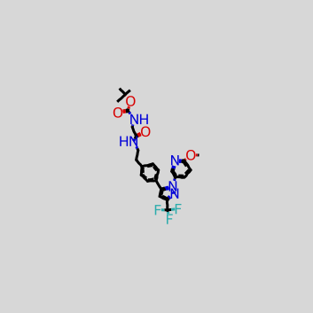 COc1ccc(-n2nc(C(F)(F)F)cc2-c2ccc(CCNC(=O)CNC(=O)OC(C)(C)C)cc2)cn1